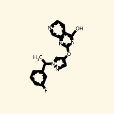 CC(c1cccc(F)c1)n1cc(Oc2nc(O)c3ccncc3n2)cn1